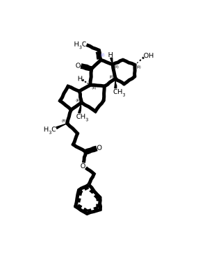 C/C=C1\C(=O)[C@@H]2C3CCC([C@H](C)CCC(=O)OCc4ccccc4)[C@@]3(C)CCC2[C@@]2(C)CC[C@@H](O)C[C@@H]12